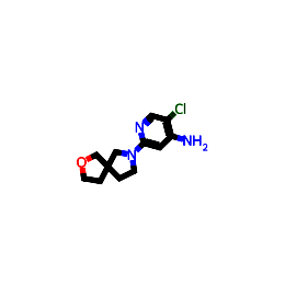 Nc1cc(N2CCC3(CCOC3)C2)ncc1Cl